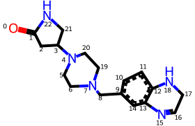 O=C1CC(N2CCN(Cc3ccc4c(c3)N=CCN4)CC2)CN1